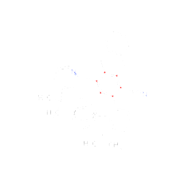 CC1(C)c2ccccc2-c2c(-c3ccc4c(c3C#N)C3c5ccccc5C4c4c3ccc(-c3cccc5c3-c3ccccc3C5(C)C)c4C#N)cccc21